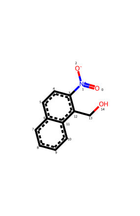 O=[N+]([O-])c1ccc2ccccc2c1CO